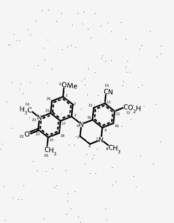 COc1cc(N2CCN(C)c3cc(C(=O)O)c(C#N)cc32)c2cc(C)c(=O)n(C)c2c1